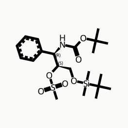 CC(C)(C)OC(=O)N[C@H](c1ccccc1)[C@@H](CO[Si](C)(C)C(C)(C)C)OS(C)(=O)=O